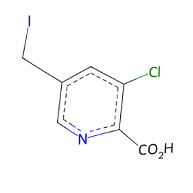 O=C(O)c1ncc(CI)cc1Cl